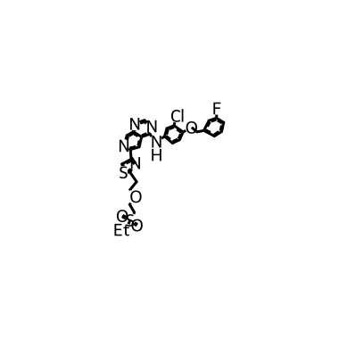 CCS(=O)(=O)CCOCCc1nc(-c2cc3c(Nc4ccc(OCc5cccc(F)c5)c(Cl)c4)ncnc3cn2)cs1